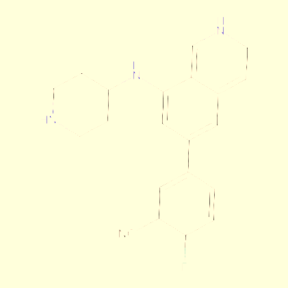 N#CC1C=C(c2cc(NC3CCNCC3)c3c(c2)=CCNC=3)C=CC1F